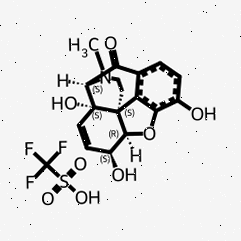 CN1CC[C@]23c4c5ccc(O)c4O[C@H]2[C@@H](O)C=C[C@@]3(O)[C@H]1C5=O.O=S(=O)(O)C(F)(F)F